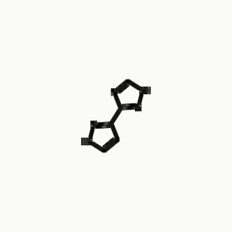 c1cc(-c2nc[nH]n2)n[nH]1